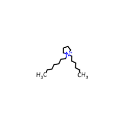 CCCCCCC[N+]1(CCCCCC)CCCC1